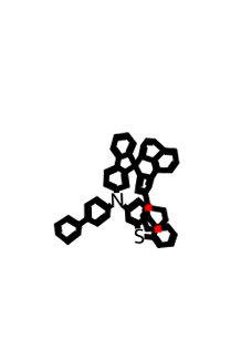 c1ccc(-c2ccc(N(c3ccc4c(c3)C3(c5ccccc5-4)c4ccc(C5CCCCC5)cc4-c4cccc5cccc3c45)c3ccc4c(c3)sc3ccccc34)cc2)cc1